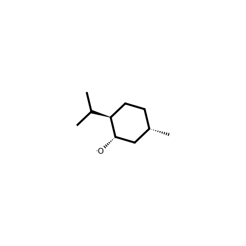 CC(C)[C@H]1CC[C@H](C)C[C@@H]1[O]